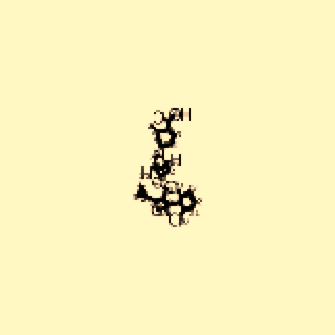 OC1OCc2cc(N3C[C@@H]4C[C@H]3C[C@H]4OCc3c(-c4c(Cl)cccc4Cl)noc3C3CC3)ccc21